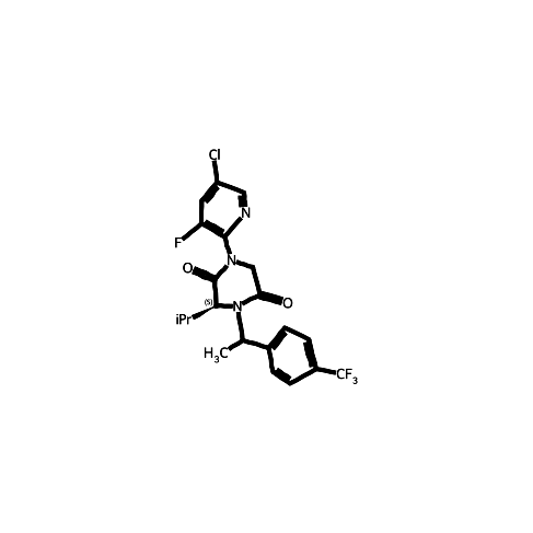 CC(C)[C@H]1C(=O)N(c2ncc(Cl)cc2F)CC(=O)N1C(C)c1ccc(C(F)(F)F)cc1